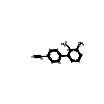 Cc1cccc(-c2c[c]c(C#N)cc2)c1C